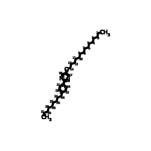 CCCCCCCCCCCCCCCOc1cnc(-c2ccc(CCCCCCCCC)cc2)nc1